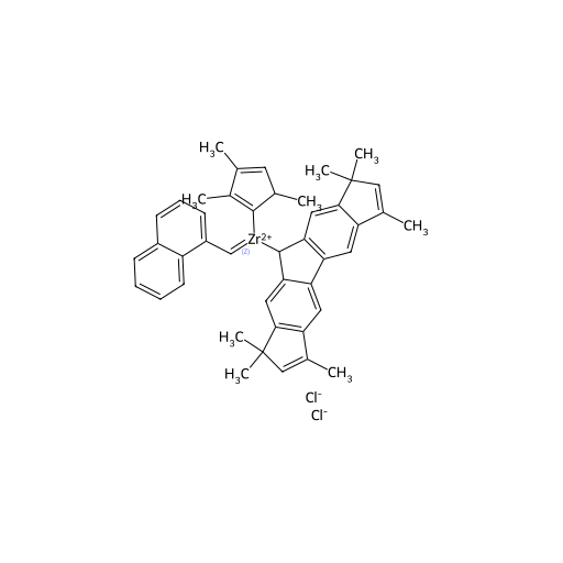 CC1=CC(C)[C](/[Zr+2](=[CH]\c2cccc3ccccc23)[CH]2c3cc4c(cc3-c3cc5c(cc32)C(C)(C)C=C5C)C(C)=CC4(C)C)=C1C.[Cl-].[Cl-]